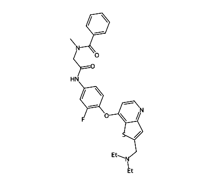 CCN(CC)Cc1cc2nccc(Oc3ccc(NC(=O)CN(C)C(=O)c4ccccc4)cc3F)c2s1